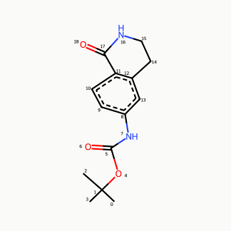 CC(C)(C)OC(=O)Nc1ccc2c(c1)CCNC2=O